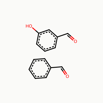 O=Cc1cccc(O)c1.O=Cc1ccccc1